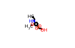 C#CCNc1ccc(S(=O)(=O)CCO)cc1OC